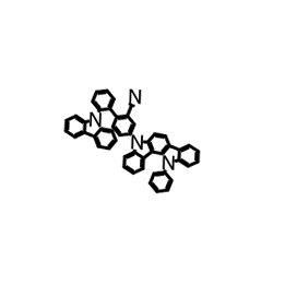 N#Cc1cc(-n2c3ccccc3c3c2ccc2c4ccccc4n(-c4ccccc4)c23)ccc1-c1ccccc1-n1c2ccccc2c2ccccc21